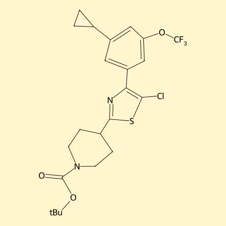 CC(C)(C)OC(=O)N1CCC(c2nc(-c3cc(OC(F)(F)F)cc(C4CC4)c3)c(Cl)s2)CC1